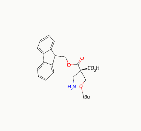 CC(C)(C)OC[C@@](CN)(C(=O)O)C(=O)OCC1c2ccccc2-c2ccccc21